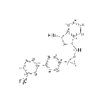 NC1CC(NC2CC2c2ccc(-c3cccc(C(F)(F)F)c3)cc2)c2ccccc21